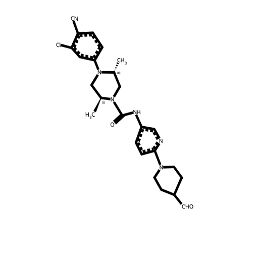 C[C@@H]1CN(C(=O)Nc2ccc(N3CCC(C=O)CC3)nc2)[C@@H](C)CN1c1ccc(C#N)c(Cl)c1